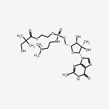 CN(C)CCNP(=O)(OCCSC(=O)C(C)(C)CO)OC[C@H]1O[C@@H](n2cnc3c(=O)[nH]c(N)nc32)[C@](C)(O)[C@@H]1O